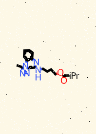 Cc1nnc2c(NCCCCOC(=O)C(C)C)nc3ccccc3n12